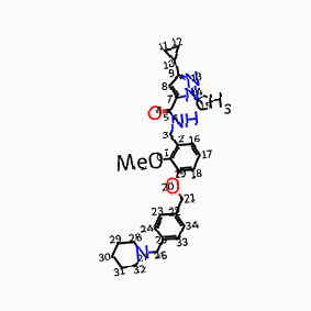 COc1c(CNC(=O)c2cc(C3CC3)nn2C)cccc1OCc1ccc(CN2CCCCC2)cc1